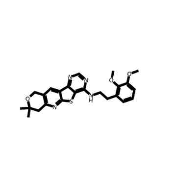 COc1cccc(CCNc2ncnc3c2sc2nc4c(cc23)COC(C)(C)C4)c1OC